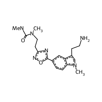 CNC(=O)N(C)CCc1noc(-c2ccc3c(c2)c(CCN)cn3C)n1